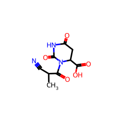 CC(C#N)C(=O)N1C(=O)NC(=O)CC1C(=O)O